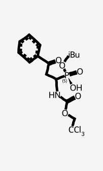 CCC(C)O[P@@](=O)(O)C(CC(=O)c1ccccc1)NC(=O)OCC(Cl)(Cl)Cl